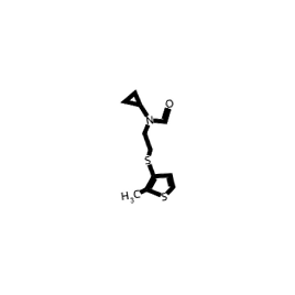 Cc1sccc1SCCN(C=O)C1CC1